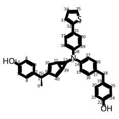 C[C@@H](c1ccc(O)cc1)c1cc2c(N(c3ccc(Cc4ccc(O)cc4)cc3)c3ccc(-c4cccs4)cc3)c-2c1